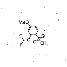 COc1ccc(S(C)(=O)=O)c(OC(F)F)c1